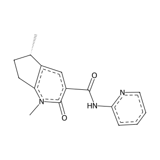 C[C@H]1CCc2c1cc(C(=O)Nc1ccccn1)c(=O)n2C